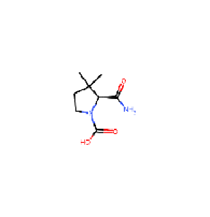 CC1(C)CCN(C(=O)O)[C@@H]1C(N)=O